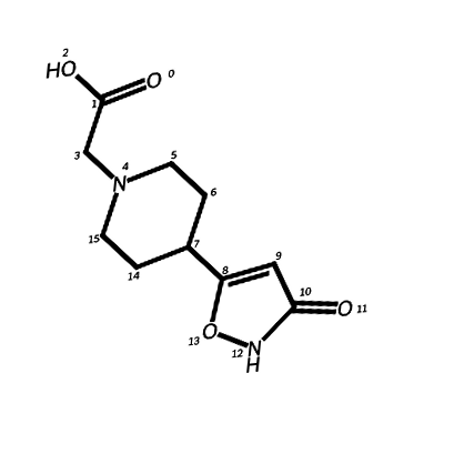 O=C(O)CN1CCC(c2cc(=O)[nH]o2)CC1